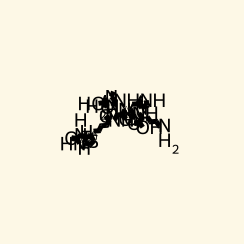 CN(CC(=O)O)C(=N)N.NCCCC[C@H](NC(=O)[C@H](Cc1c[nH]cn1)NC(=O)CNC(=O)CCCC[C@@H]1SC[C@@H]2NC(=O)N[C@@H]21)C(=O)O